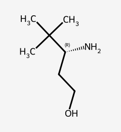 CC(C)(C)[C@H](N)CCO